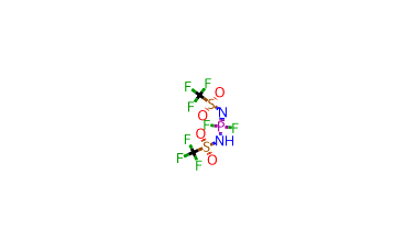 O=S(=O)(N=P(F)(F)NS(=O)(=O)C(F)(F)F)C(F)(F)F